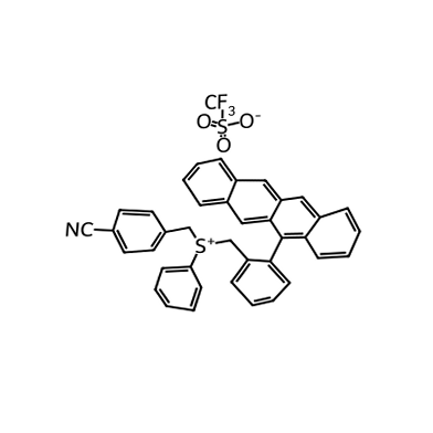 N#Cc1ccc(C[S+](Cc2ccccc2-c2c3ccccc3cc3cc4ccccc4cc23)c2ccccc2)cc1.O=S(=O)([O-])C(F)(F)F